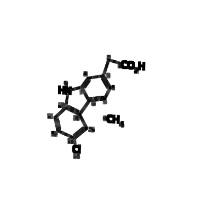 C.O=C(O)Cc1ccc2c(c1)[nH]c1ccc(Cl)cc12